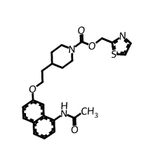 CC(=O)Nc1cccc2ccc(OCCC3CCN(C(=O)OCc4nccs4)CC3)cc12